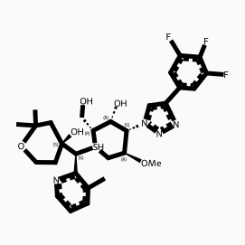 CO[C@H]1C[SH]([C@@H](c2ncccc2C)[C@]2(O)CCOC(C)(C)C2)[C@H](CO)[C@H](O)[C@@H]1n1cc(-c2cc(F)c(F)c(F)c2)nn1